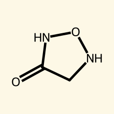 O=C1CNON1